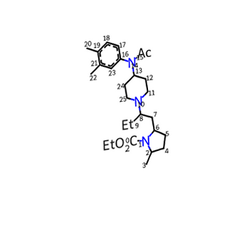 CCOC(=O)N1C(C)CCC1CC(CC)N1CCC(N(C(C)=O)c2ccc(C)c(C)c2)CC1